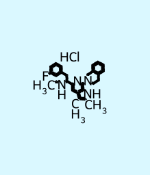 CCNC(Cc1cccc(F)c1)c1cc2c(C)c(C)[nH]c2c(N2CCc3ccccc3C2)n1.Cl